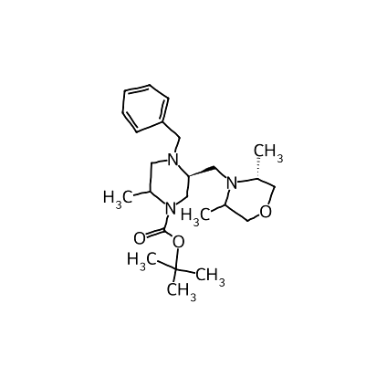 CC1CN(Cc2ccccc2)[C@@H](CN2C(C)COC[C@H]2C)CN1C(=O)OC(C)(C)C